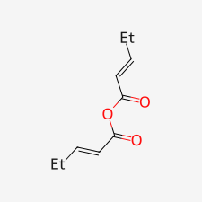 CCC=CC(=O)OC(=O)C=CCC